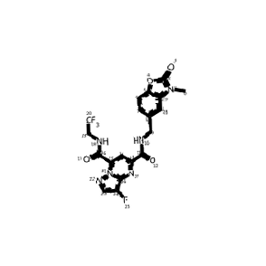 Cn1c(=O)oc2ccc(CNC(=O)c3cc(C(=O)NCC(F)(F)F)n4ncc(F)c4n3)cc21